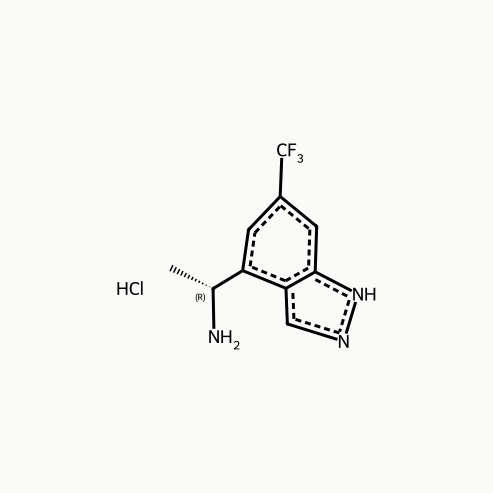 C[C@@H](N)c1cc(C(F)(F)F)cc2[nH]ncc12.Cl